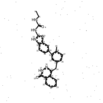 CCNC(=O)Nc1nc2cc(-c3cc(Cc4n[nH]c(=O)c5ccccc45)ccc3C)ccc2[nH]1